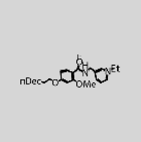 CCCCCCCCCCCCOc1ccc(C(=O)NCc2ccc[n+](CC)c2)c(OC)c1.[I-]